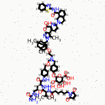 Cc1c(-c2ccc(N3CCc4cccc(C(=O)Nc5nc6ccccc6s5)c4C3)nc2C(=O)O)cnn1CC12CC3(C)CC(C)(C1)CC(OCCN(COCc1ccc(NC(=O)[C@H](CCCNC(N)=O)NC(=O)[C@@H](NC(=O)CCCCCN4C(=O)C=CC4=O)C(C)C)cc1)Cc1ccc(O[C@H]4O[C@H](C(=O)O)[C@@H](O)[C@H](O)[C@H]4O)cc1)(C3)C2